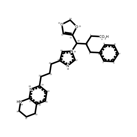 O=C(O)CC(Cc1ccccc1)C(C1=COCO1)n1cnc(CCCc2ccc3c(n2)NCCC3)c1